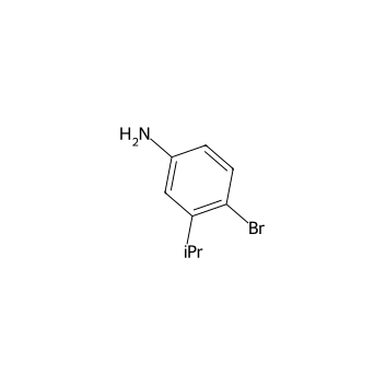 CC(C)c1cc(N)ccc1Br